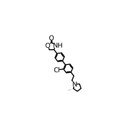 C[C@H]1CCCN1CCc1ccc(-c2ccc(C3COC(=O)N3)cc2)c(Cl)c1